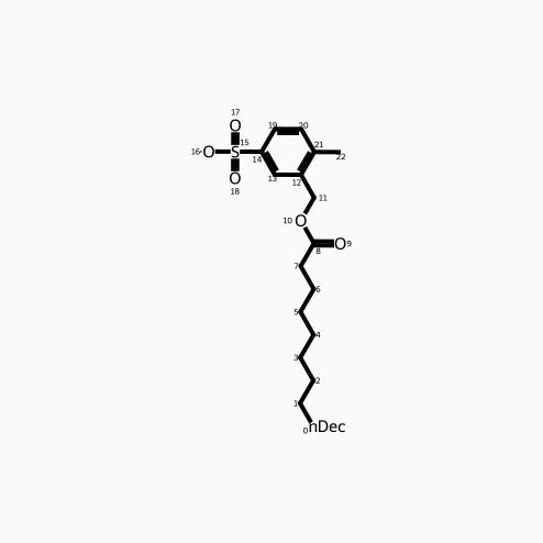 CCCCCCCCCCCCCCCCCC(=O)OCc1cc(S([O])(=O)=O)ccc1C